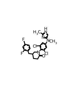 Cc1nc(N(C)c2cc(Cl)c(N3CC(Cc4ccc(F)cc4F)CCC3=O)c(Cl)c2)c[nH]1